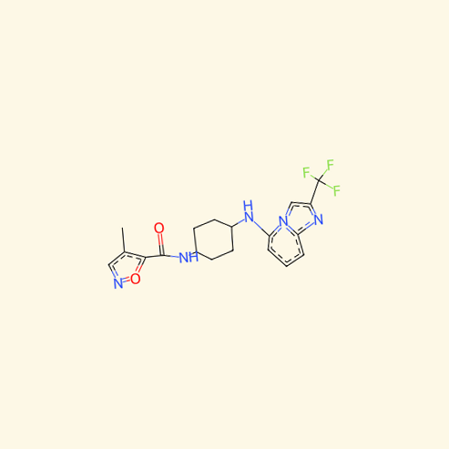 Cc1cnoc1C(=O)NC1CCC(Nc2cccc3nc(C(F)(F)F)cn23)CC1